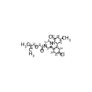 Cc1ccc(N2CCN(C(=O)COCC(C)C)C[C@H]2c2ccc(Cl)cc2)c(Cl)c1